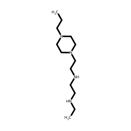 CCCN1CCN(CCNCCNCC)CC1